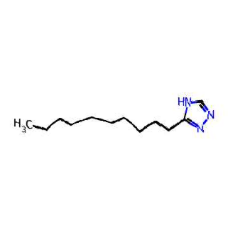 CCCCCCCCCCc1nnc[nH]1